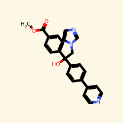 COC(=O)c1ccc(C(O)(Cn2ccnc2)c2ccc(-c3ccncc3)cc2)cc1